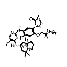 CC(C)OC(=O)COc1cc(F)c(Nc2ncc(F)c(N[C@@H]3C[C@@H]4CCCN4C(C)(C)C3)n2)cc1-n1nnn(C)c1=O